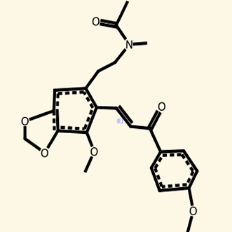 COc1ccc(C(=O)/C=C/c2c(CCN(C)C(C)=O)cc3c(c2OC)OCO3)cc1